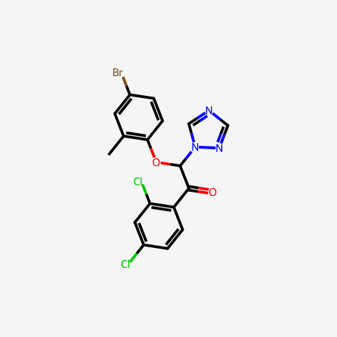 Cc1cc(Br)ccc1OC(C(=O)c1ccc(Cl)cc1Cl)n1cncn1